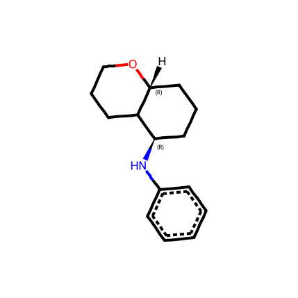 c1ccc(N[C@@H]2CCC[C@H]3OCCCC23)cc1